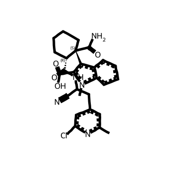 Cc1cc(CC(C#N)NC(=O)[C@@H]2CCCC[C@@]2(C(N)=O)c2c(C(=O)O)n(C)c3ccccc23)cc(Cl)n1